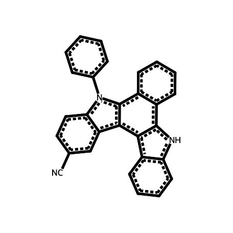 N#Cc1ccc2c(c1)c1c3c4ccccc4[nH]c3c3ccccc3c1n2-c1ccccc1